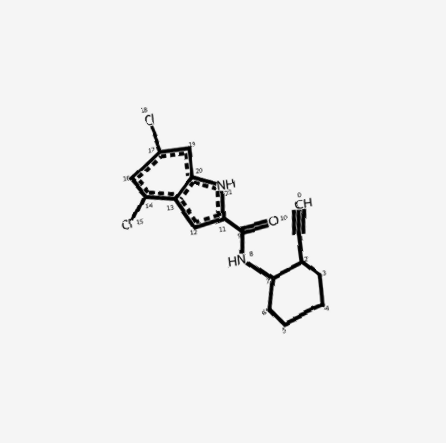 C#CC1CCCCC1NC(=O)c1cc2c(Cl)cc(Cl)cc2[nH]1